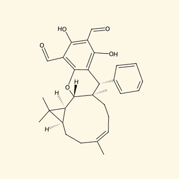 C/C1=C/CC[C@]2(C)[C@@H](c3ccccc3)c3c(O)c(C=O)c(O)c(C=O)c3O[C@H]2[C@H]2[C@@H](CC1)C2(C)C